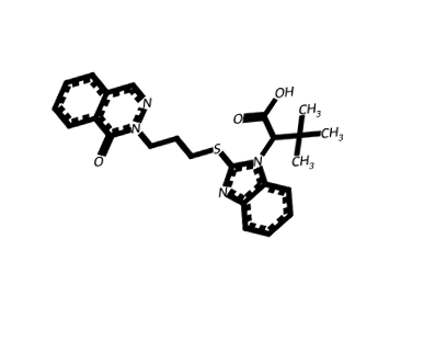 CC(C)(C)C(C(=O)O)n1c(SCCCn2ncc3ccccc3c2=O)nc2ccccc21